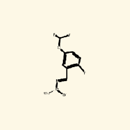 CC(C)(C)[S@@+]([O-])/N=C/c1cc(OC(F)F)ccc1F